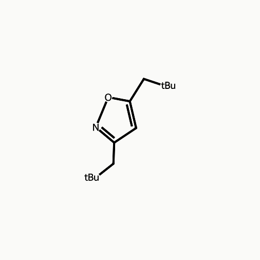 CC(C)(C)Cc1cc(CC(C)(C)C)on1